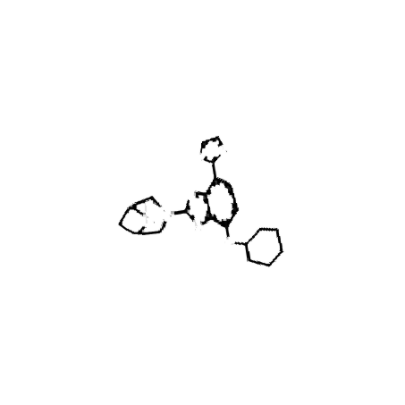 c1csc(-c2ccc(OC3CCCCC3)c3nc(N4CC5CC(C4)N5)oc23)n1